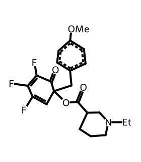 CCN1CCCC(C(=O)OC2(Cc3ccc(OC)cc3)C=C(F)C(F)=C(F)C2=O)C1